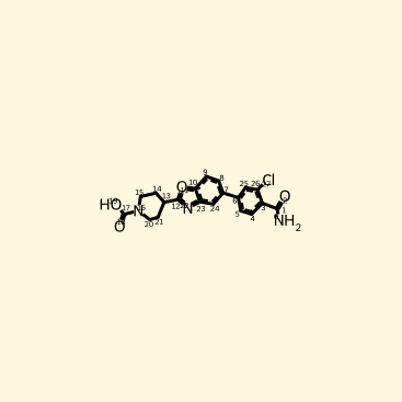 NC(=O)c1ccc(-c2ccc3oc(C4CCN(C(=O)O)CC4)nc3c2)cc1Cl